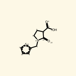 O=C(O)C1CCN(Cc2cccs2)C1=O